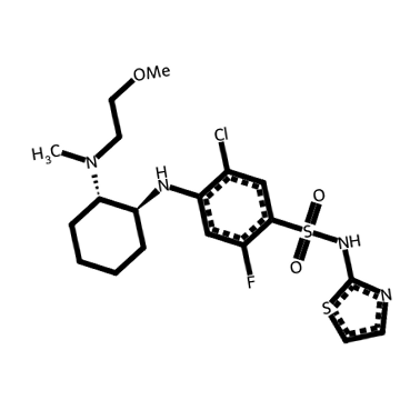 COCCN(C)[C@H]1CCCC[C@@H]1Nc1cc(F)c(S(=O)(=O)Nc2nccs2)cc1Cl